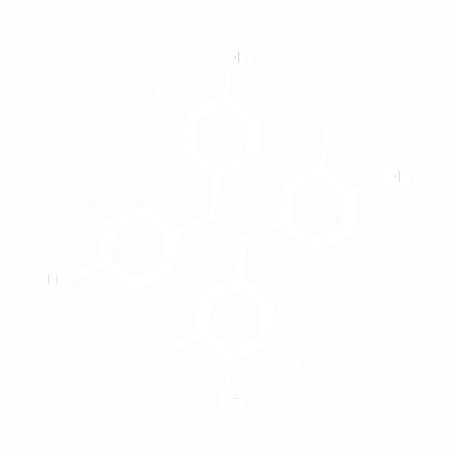 Cc1cc(C(c2ccc(O)c(C)c2)C(c2ccc(O)c(C)c2)c2cc(C)c(O)c(C)c2)ccc1O